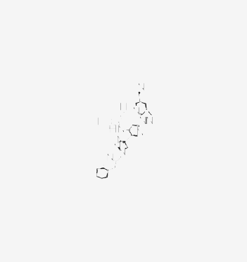 CC(C)Nc1cc(-n2ncc3cc(C#N)cnc32)ncc1-c1cn(C[C@H](N)Cc2ccccc2)nn1